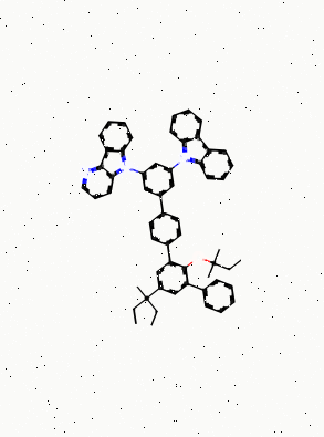 CCC(C)(C)Oc1c(-c2ccccc2)cc(C(C)(CC)CC)cc1-c1ccc(-c2cc(-n3c4ccccc4c4ccccc43)cc(-n3c4ccccc4c4ncccc43)c2)cc1